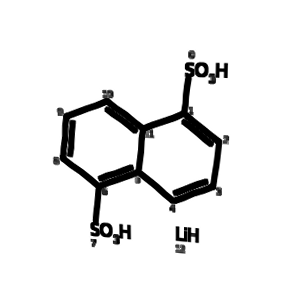 O=S(=O)(O)c1cccc2c(S(=O)(=O)O)cccc12.[LiH]